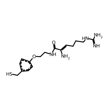 N=C(N)NCCC/C=C(\N)C(=O)NCCOc1ccc(CS)cc1